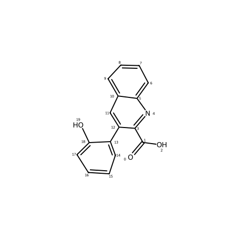 O=C(O)c1nc2ccccc2cc1-c1ccccc1O